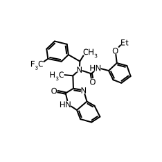 CCOc1ccccc1NC(=O)N(C(C)c1cccc(C(F)(F)F)c1)C(C)c1nc2ccccc2[nH]c1=O